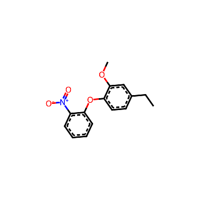 CCc1ccc(Oc2ccccc2[N+](=O)[O-])c(OC)c1